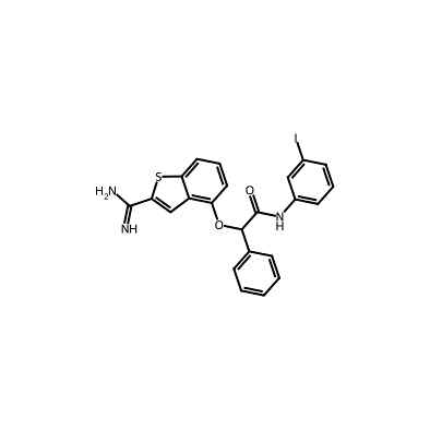 N=C(N)c1cc2c(OC(C(=O)Nc3cccc(I)c3)c3ccccc3)cccc2s1